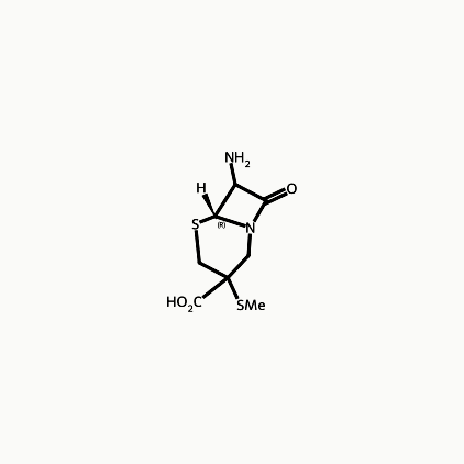 CSC1(C(=O)O)CS[C@@H]2C(N)C(=O)N2C1